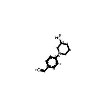 O=Cc1ccc(N2CCCC(S)C2)cc1